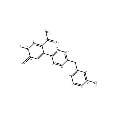 Cn1nc(C(N)=O)c(-c2ccc(Cc3cccc(Cl)c3)nn2)cc1=O